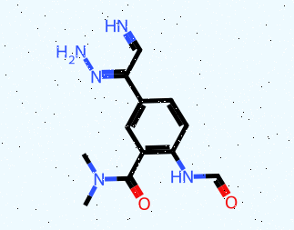 CN(C)C(=O)c1cc(/C(C=N)=N/N)ccc1NC=O